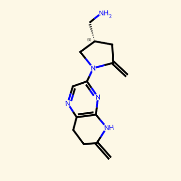 C=C1CCc2ncc(N3C[C@H](CN)CC3=C)nc2N1